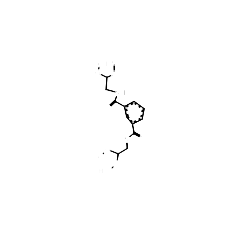 COC(CNC(=O)c1cccc(C(=O)NCC(OC)OC)c1)OC